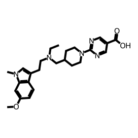 CCN(CCc1cn(C)c2cc(OC)ccc12)CC1CCN(c2ncc(C(=O)O)cn2)CC1